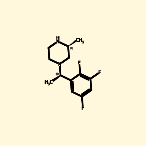 C[C@@H]1CN([C@H](C)c2cc(F)cc(F)c2F)CCN1